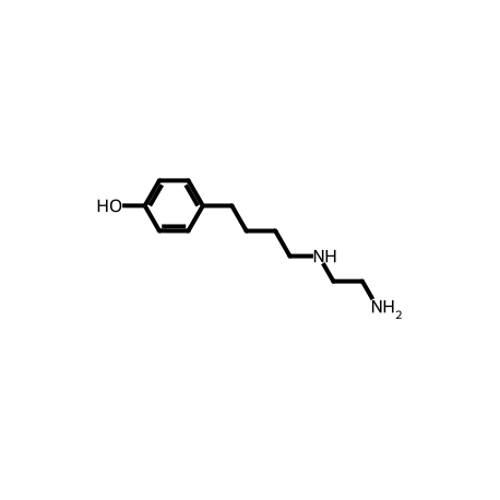 NCCNCCCCc1ccc(O)cc1